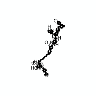 Cc1ncsc1-c1ccc(CNC(=O)[C@@H]2C[C@@H](O)CN2C(=O)[C@@H](NCCCCCCCCCN2CCN(C3CCC(CNc4ccc(S(=O)(=O)NC(=O)c5ccc(N6CCN(CC7=C(c8ccc(Cl)cc8)CC(C)(C)CC7)CC6)cc5Oc5cnc6[nH]ccc6c5)cc4[N+](=O)[O-])CC3)CC2)C(C)(C)C)cc1